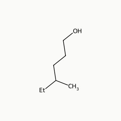 CCC(C)CCCO